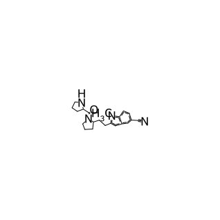 Cn1c(CCC2CCCN2C(=O)C2CCCN2)cc2cc(C#N)ccc21